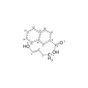 CCC=CO.O=C(O)c1ccc2ccccc2c1